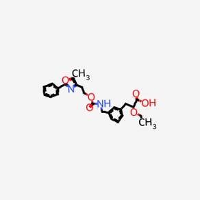 CCOC(Cc1cccc(CNC(=O)OCCc2nc(-c3ccccc3)oc2C)c1)C(=O)O